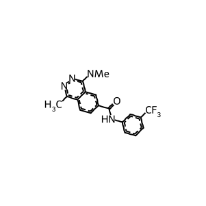 CNc1nnc(C)c2ccc(C(=O)Nc3cccc(C(F)(F)F)c3)cc12